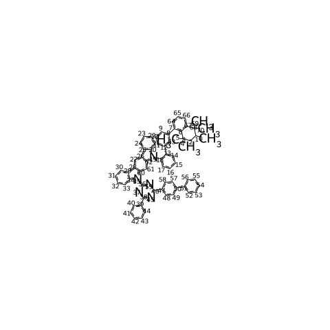 CC1CC(C)(C)c2c(-c3cccc(-c4ccccc4-n4c5ccccc5c5cc6c7ccccc7n(-c7nc(-c8ccccc8)nc(-c8ccc(-c9ccccc9)cc8)n7)c6cc54)c3)cccc2C1(C)C